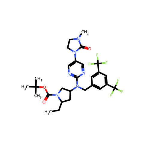 CCC1CC(N(Cc2cc(C(F)(F)F)cc(C(F)(F)F)c2)c2ncc(N3CCN(C)C3=O)cn2)CN1C(=O)OC(C)(C)C